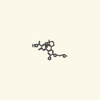 C=C(O)C1=CN2C(=CC1=C)c1cc(OC)c(OCCCOC)cc1C1CCCC(C)(C)[C@H]12